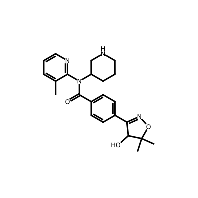 Cc1cccnc1N(C(=O)c1ccc(C2=NOC(C)(C)C2O)cc1)C1CCCNC1